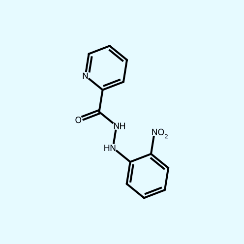 O=C(NNc1ccccc1[N+](=O)[O-])c1ccccn1